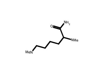 CNCCCCC(NC)C(N)=O